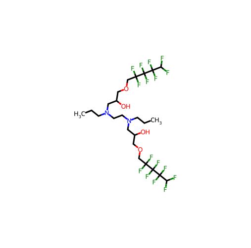 CCCN(CCN(CCC)CC(O)COCC(F)(F)C(F)(F)C(F)(F)C(F)F)CC(O)COCC(F)(F)C(F)(F)C(F)(F)C(F)F